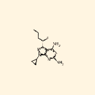 CCCC(F)c1nn(C2CC2)c2nc(N)nc(N)c12